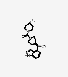 N#CC(=C1CCN(C(=O)N2CCC(C(F)(F)F)CC2)CC1)c1cccc2[nH]ncc12